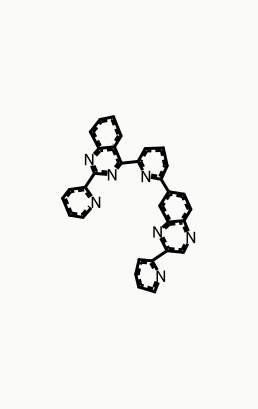 c1ccc(-c2cnc3ccc(-c4cccc(-c5nc(-c6ccccn6)nc6ccccc56)n4)cc3n2)nc1